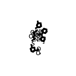 COC(=O)c1cccc(CSC[C@H](N)C(=O)NC(=O)[C@H](Cc2cccc(C)c2)NC(=O)C(c2ccccc2)c2ccccc2)c1